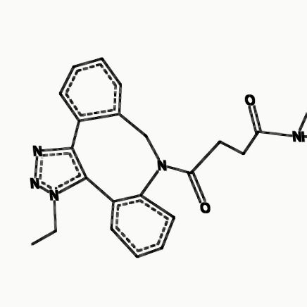 CCn1nnc2c1-c1ccccc1N(C(=O)CCC(=O)NC)Cc1ccccc1-2